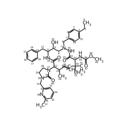 CCc1ccc(CN(CC(O)C(Cc2ccccc2)NC(=O)C(C(C)CC)N2CCN(Cc3cccc(C)n3)C2=O)NC(=O)C(NC(=O)OC)C(C)(C)C)cc1